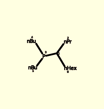 CCCCCCC(CCC)P(CCCC)CCCC